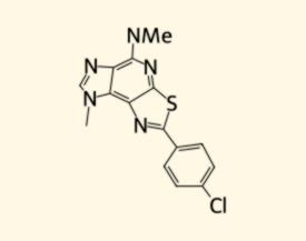 CNc1nc2sc(-c3ccc(Cl)cc3)nc2c2c1ncn2C